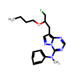 CCCCOC(CF)Cc1cnn2c(N(C)c3ccccc3)ncnc12